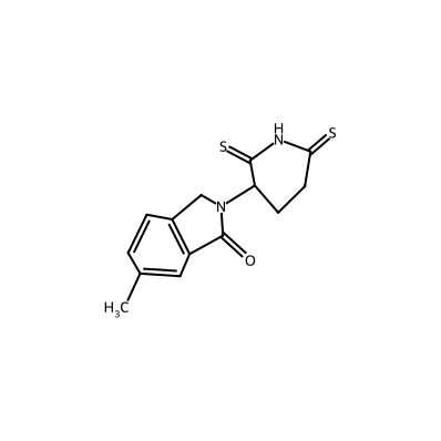 Cc1ccc2c(c1)C(=O)N(C1CCC(=S)NC1=S)C2